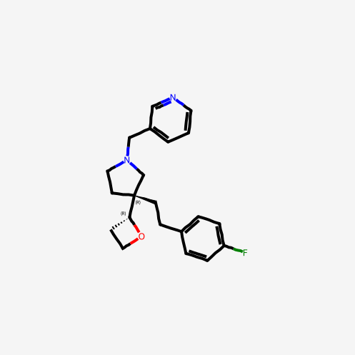 Fc1ccc(CC[C@@]2([C@H]3CCO3)CCN(Cc3cccnc3)C2)cc1